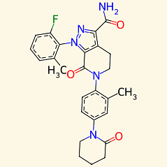 Cc1cc(N2CCCCC2=O)ccc1N1CCc2c(C(N)=O)nn(-c3c(C)cccc3F)c2C1=O